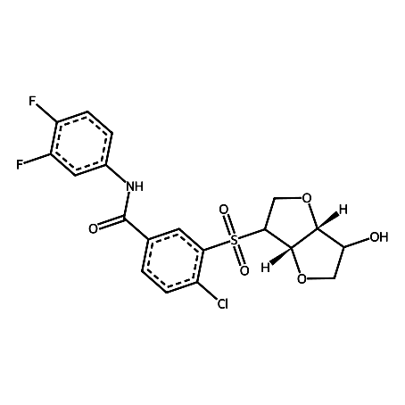 O=C(Nc1ccc(F)c(F)c1)c1ccc(Cl)c(S(=O)(=O)C2CO[C@@H]3C(O)CO[C@H]23)c1